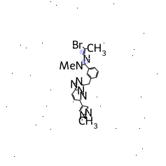 CN/C(=N\C=C(/C)Br)c1cccc(Cc2nnc3ccc(-c4cnn(C)c4)nn23)c1